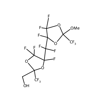 COC1(C(F)(F)F)OC(F)(F)C(F)(C(F)(F)C2(F)OC(CO)(C(F)(F)F)OC2(F)F)O1